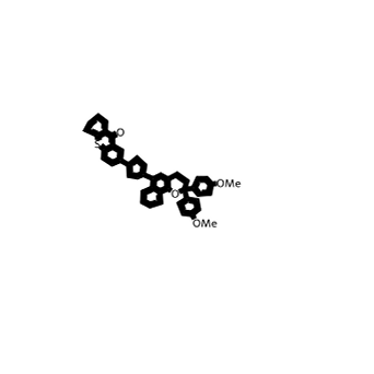 COc1ccc(C2(c3ccc(OC)cc3)C=Cc3cc(-c4ccc(-c5ccc6sc7ccccc7c(=O)c6c5)cc4)c4ccccc4c3O2)cc1